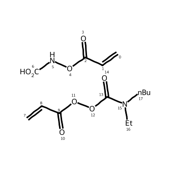 C=CC(=O)ONC(=O)O.C=CC(=O)OOC(=O)N(CC)CCCC